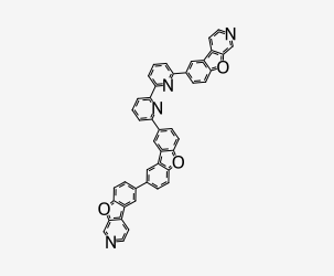 c1cc(-c2ccc3oc4cnccc4c3c2)nc(-c2cccc(-c3ccc4oc5ccc(-c6ccc7oc8cnccc8c7c6)cc5c4c3)n2)c1